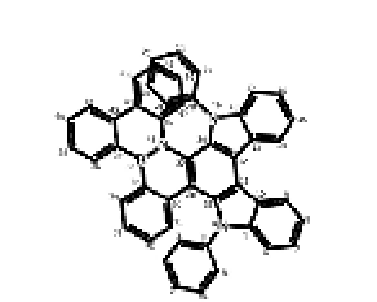 c1ccc(-n2c3ccccc3c3c4c5ccccc5n(-c5ccccc5)c4c4c(c32)-c2ccccc2B2c3ccccc3-c3ccccc3N24)cc1